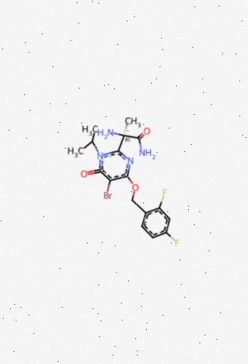 CC(C)n1c([C@@](C)(N)C(N)=O)nc(OCc2ccc(F)cc2F)c(Br)c1=O